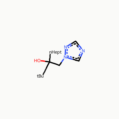 CCCCCCCC(O)(Cn1cncn1)C(C)(C)C